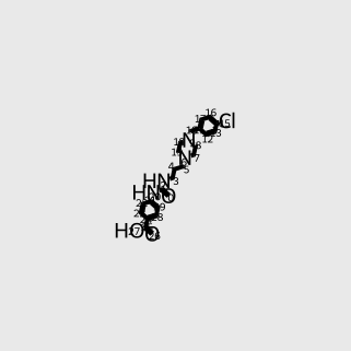 O=C(NCCCN1CCN(Cc2ccc(Cl)cc2)CC1)Nc1ccc(C(=O)O)cc1